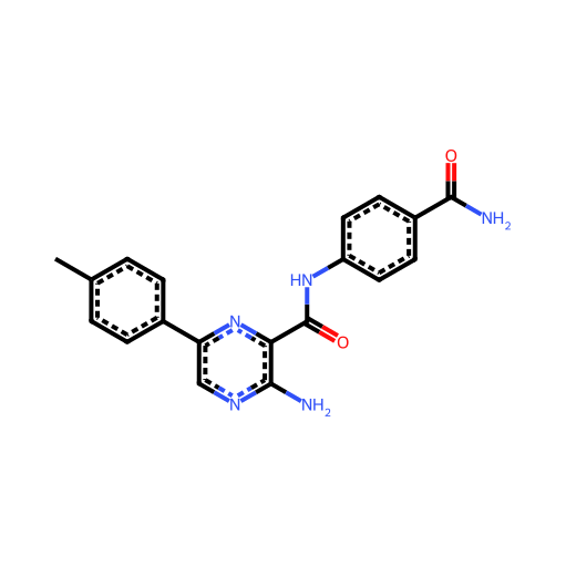 Cc1ccc(-c2cnc(N)c(C(=O)Nc3ccc(C(N)=O)cc3)n2)cc1